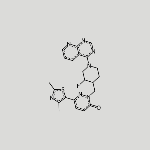 Cc1nc(C)c(-c2ccc(=O)n(CC3CCN(c4ncnc5ncccc45)CC3F)n2)s1